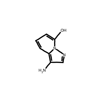 Nc1cnn2c(O)cccc12